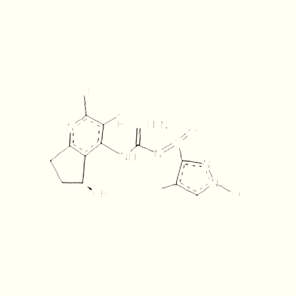 CCn1cc(F)c([S@](N)(=O)=NC(=O)Nc2c(C)c(C(F)(F)F)nc3c2[C@@H](C)CC3)n1